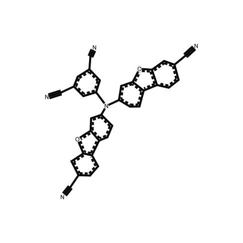 N#Cc1cc(C#N)cc(N(c2ccc3c(c2)oc2cc(C#N)ccc23)c2ccc3c(c2)oc2cc(C#N)ccc23)c1